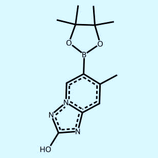 Cc1cc2nc(O)nn2cc1B1OC(C)(C)C(C)(C)O1